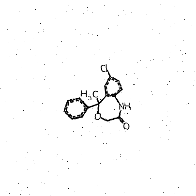 CC1(c2ccccc2)OCC(=O)Nc2ccc(Cl)cc21